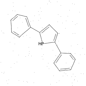 [c]1cc(-c2ccccc2)[pH]c1-c1ccccc1